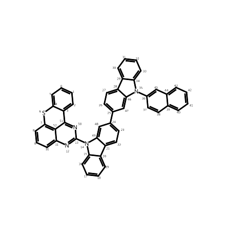 c1ccc2c(c1)Sc1cccc3nc(-n4c5ccccc5c5ccc(-c6ccc7c8ccccc8n(-c8ccc9ccccc9c8)c7c6)cc54)nc-2c13